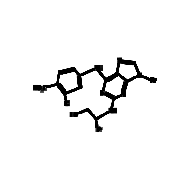 CC(C)[C@@H](CO)Nc1nc(Nc2ccc(C(=O)O)c(Cl)c2)c2ncn(C(C)C)c2n1